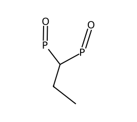 CCC(P=O)P=O